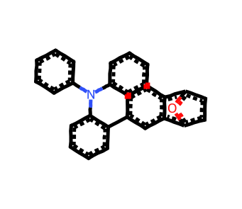 c1ccc(N(c2ccccc2)c2ccccc2-c2ccc3c4ccc(o4)c3c2)cc1